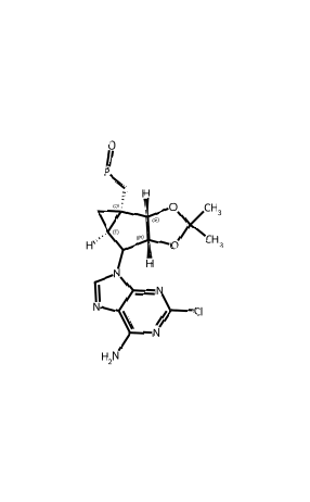 CC1(C)O[C@@H]2C(n3cnc4c(N)nc(Cl)nc43)[C@H]3C[C@@]3(CP=O)[C@@H]2O1